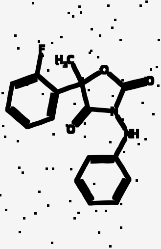 CC1(c2ccccc2F)OC(=O)N(Nc2ccccc2)C1=O